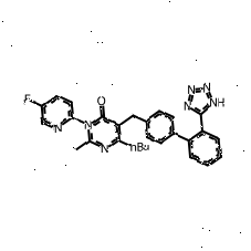 CCCCc1nc(C)n(-c2ccc(F)cn2)c(=O)c1Cc1ccc(-c2ccccc2-c2nnn[nH]2)cc1